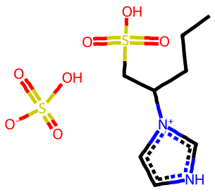 CCCC(CS(=O)(=O)O)[n+]1cc[nH]c1.O=S(=O)([O-])O